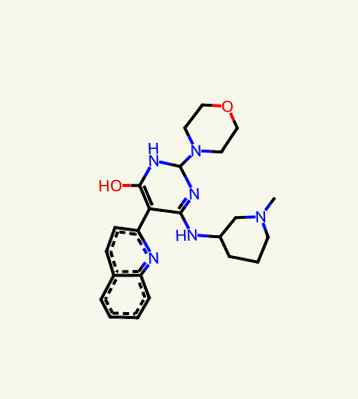 CN1CCCC(NC2=NC(N3CCOCC3)NC(O)=C2c2ccc3ccccc3n2)C1